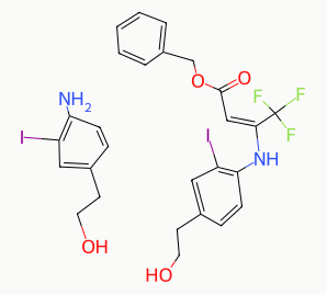 Nc1ccc(CCO)cc1I.O=C(C=C(Nc1ccc(CCO)cc1I)C(F)(F)F)OCc1ccccc1